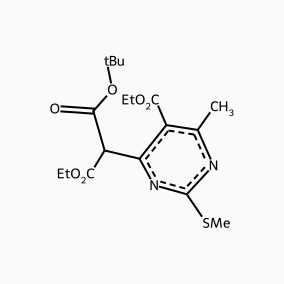 CCOC(=O)c1c(C)nc(SC)nc1C(C(=O)OCC)C(=O)OC(C)(C)C